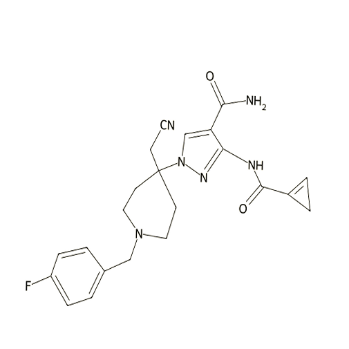 N#CCC1(n2cc(C(N)=O)c(NC(=O)C3=CC3)n2)CCN(Cc2ccc(F)cc2)CC1